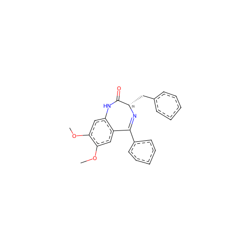 COc1cc2c(cc1OC)C(c1ccccc1)=N[C@@H](Cc1ccccc1)C(=O)N2